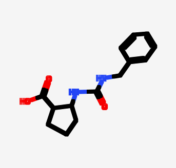 O=C(NCc1ccccc1)NC1CCCC1C(=O)O